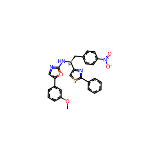 COc1cccc(-c2cnc(N[C@@H](Cc3ccc([N+](=O)[O-])cc3)c3csc(-c4ccccc4)n3)o2)c1